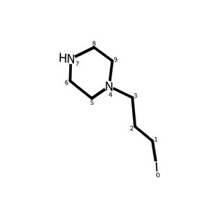 ICCCN1CCNCC1